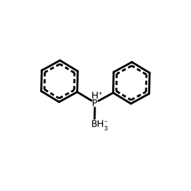 [BH3-][PH+](c1ccccc1)c1ccccc1